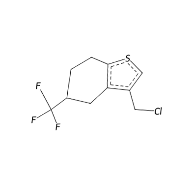 FC(F)(F)C1CCc2scc(CCl)c2C1